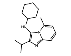 Cc1cccc2nc(C(C)C)c(NC3CCCCC3)n12